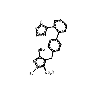 CCCCc1nn(CC)c(C(=O)O)c1Cc1ccc(-c2ccccc2-c2nnn[nH]2)cc1